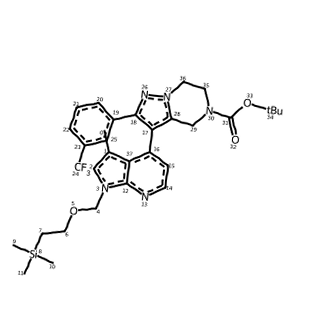 Cc1cn(COCC[Si](C)(C)C)c2nccc(-c3c(-c4cccc(C(F)(F)F)c4)nn4c3CN(C(=O)OC(C)(C)C)CC4)c12